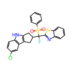 O=S(=O)(c1ccccc1)C(F)(c1nc2ccccc2s1)C1Cc2[nH]c3ccc(Cl)cc3c2C1